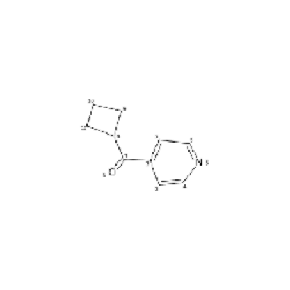 O=C(c1ccncc1)C1CCC1